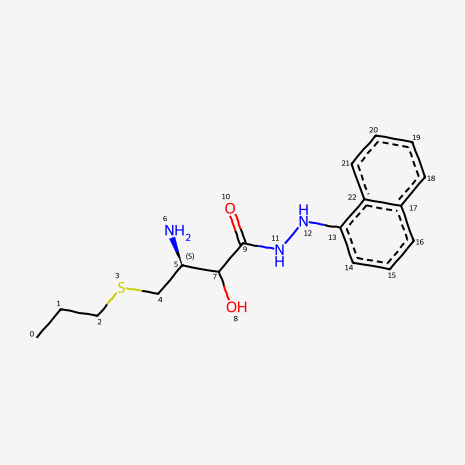 CCCSC[C@@H](N)C(O)C(=O)NNc1cccc2ccccc12